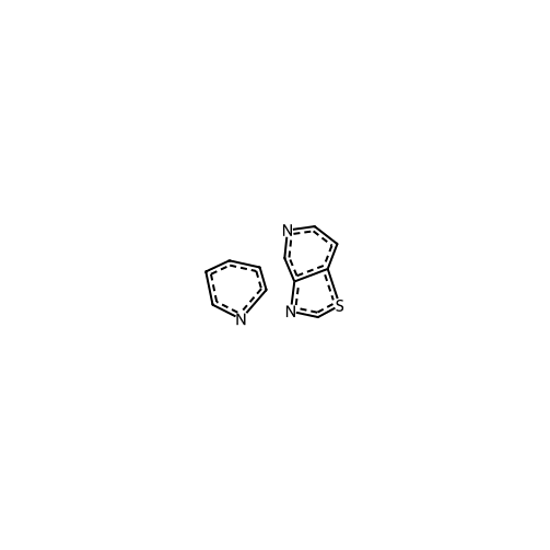 c1cc2scnc2cn1.c1ccncc1